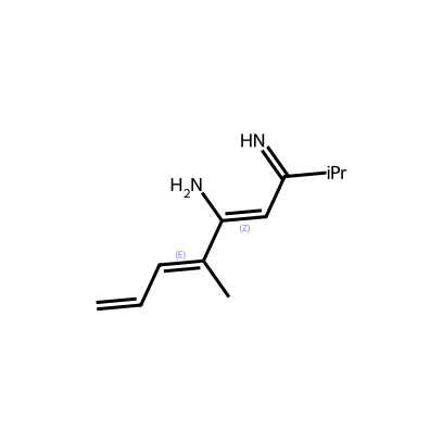 C=C/C=C(C)/C(N)=C/C(=N)C(C)C